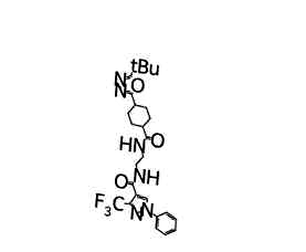 CC(C)(C)c1nnc(C2CCC(C(=O)NCCNC(=O)c3cn(-c4ccccc4)nc3C(F)(F)F)CC2)o1